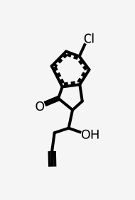 C#CCC(O)C1Cc2cc(Cl)ccc2C1=O